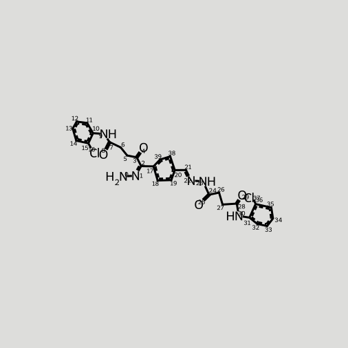 NN=C(C(=O)CCC(=O)Nc1ccccc1Cl)c1ccc(C=NNC(=O)CCC(=O)Nc2ccccc2Cl)cc1